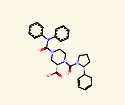 O=C(O)[C@@H]1CN(C(=O)N(c2ccccc2)c2ccccc2)CCN1C(=O)N1CCC[C@H]1C1C=CC=CC1